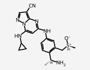 C[C@@H](N)c1ccc(Nc2cc(NC3CC3)n3ncc(C#N)c3n2)cc1C[S@+](C)[O-]